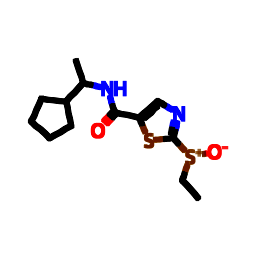 CC[S+]([O-])c1ncc(C(=O)NC(C)C2CCCC2)s1